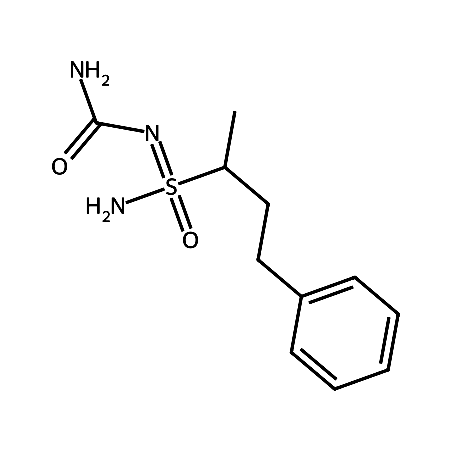 CC(CCc1ccccc1)S(N)(=O)=NC(N)=O